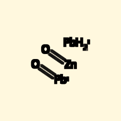 [O]=[Pb].[O]=[Zn].[PbH2]